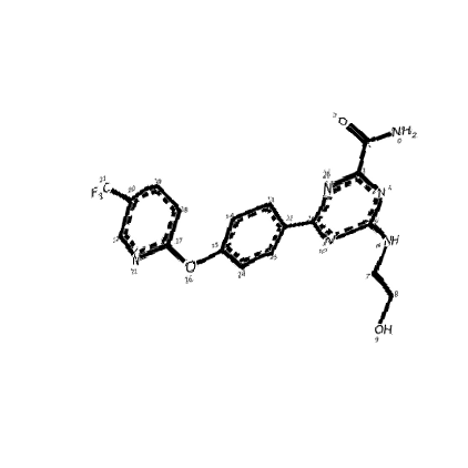 NC(=O)c1nc(NCCO)nc(-c2ccc(Oc3ccc(C(F)(F)F)cn3)cc2)n1